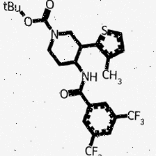 Cc1ccsc1C1CN(C(=O)OC(C)(C)C)CCC1NC(=O)c1cc(C(F)(F)F)cc(C(F)(F)F)c1